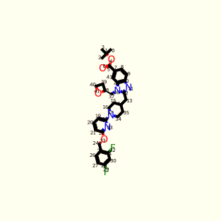 CC(C)(C)OC(=O)c1ccc2nc(CC3CCN(c4cccc(OCc5ccc(F)cc5F)n4)CC3)n(C[C@@H]3CCO3)c2c1